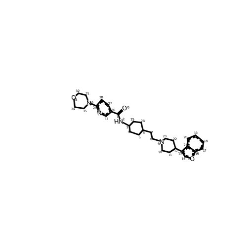 O=C(NC1CCC(CCN2CCC(c3coc4ccccc34)CC2)CC1)c1ccc(N2CCOCC2)nc1